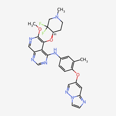 COc1ncc2ncnc(Nc3ccc(Oc4cnn5ccnc5c4)c(C)c3)c2c1O[C@@H]1CCN(C)CC1(F)F